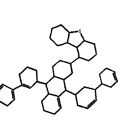 C1=CC(C2=CC(C3C4CCCC=C4C(C4CC=CC(C5CC=CCC5)C4)C4CC(C5CCCC6SC7CCCCC7C65)CCC43)CCC2)=CCC1